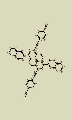 N#Cc1ccc(C#Cc2cc(-c3ccc4ccccc4c3)c3ccc4c(C#Cc5ccc(C#N)cc5)cc(-c5ccc6ccccc6c5)c5ccc2c3c45)cc1